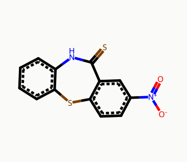 O=[N+]([O-])c1ccc2c(c1)C(=S)Nc1ccccc1S2